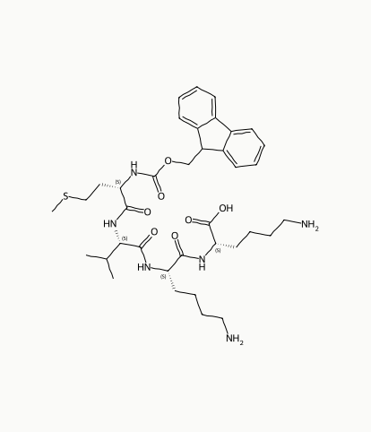 CSCC[C@H](NC(=O)OCC1c2ccccc2-c2ccccc21)C(=O)N[C@H](C(=O)N[C@@H](CCCCN)C(=O)N[C@@H](CCCCN)C(=O)O)C(C)C